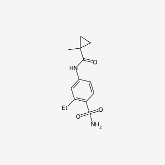 CCc1cc(NC(=O)C2(C)CC2)ccc1S(N)(=O)=O